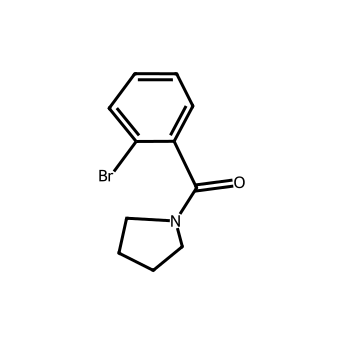 O=C(c1ccccc1Br)N1CCCC1